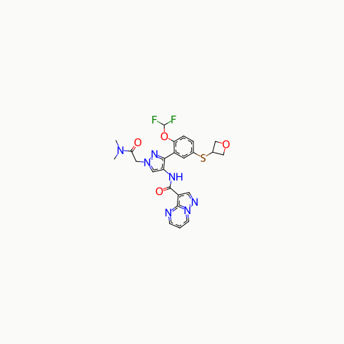 CN(C)C(=O)Cn1cc(NC(=O)c2cnn3cccnc23)c(-c2cc(SC3COC3)ccc2OC(F)F)n1